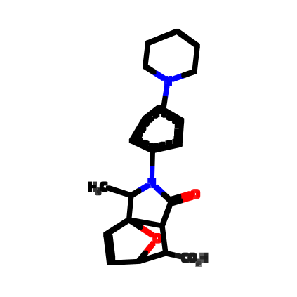 CC1N(c2ccc(N3CCCCC3)cc2)C(=O)C2C(C(=O)O)C3C=CC21O3